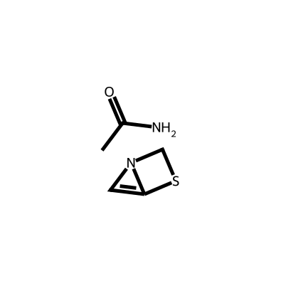 C1=C2SCN12.CC(N)=O